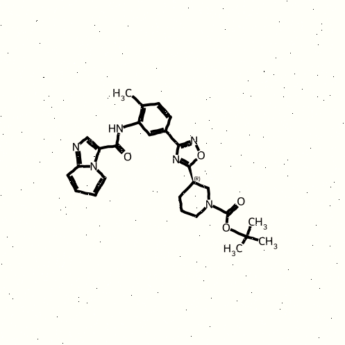 Cc1ccc(-c2noc([C@@H]3CCCN(C(=O)OC(C)(C)C)C3)n2)cc1NC(=O)c1cnc2ccccn12